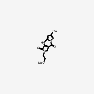 COCCN1Cc2c([nH]c3cc(C(C)(C)C)nn3c2=O)C1=O